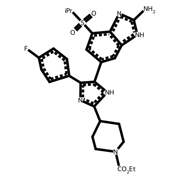 CCOC(=O)N1CCC(c2nc(-c3ccc(F)cc3)c(-c3cc(S(=O)(=O)C(C)C)c4nc(N)[nH]c4c3)[nH]2)CC1